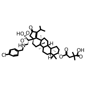 CC(C)C1=C2[C@@]([C@H](CNCc3ccc(Cl)cc3)S(=O)(=O)O)(CC[C@]3(C)[C@]2(C)CC[C@@H]2[C@@]4(C)CC[C@H](OC(=O)CC(C)(C)C(=O)O)C(C)(C)[C@@H]4CC[C@]23C)CC1=O